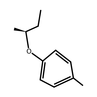 CC[C@H](C)Oc1ccc(C)cc1